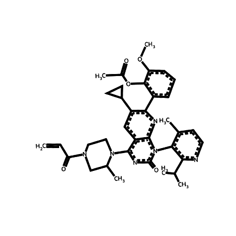 C=CC(=O)N1CCN(c2nc(=O)n(-c3c(C)ccnc3C(C)C)c3nc(-c4cccc(OC)c4OC(C)=O)c(C4CC4)cc23)C(C)C1